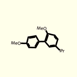 COc1ccc(-c2cc(C(C)C)ccc2OC)cc1